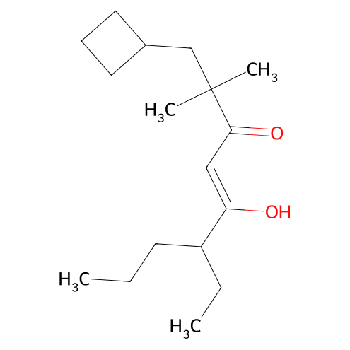 CCCC(CC)/C(O)=C/C(=O)C(C)(C)CC1CCC1